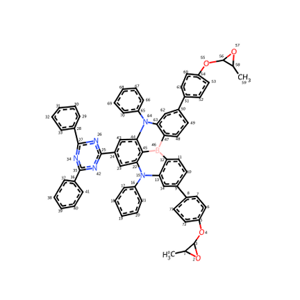 CC1OC1Oc1ccc(-c2ccc3c(c2)N(c2ccccc2)c2cc(-c4nc(-c5ccccc5)nc(-c5ccccc5)n4)cc4c2B3c2ccc(-c3ccc(OC5OC5C)cc3)cc2N4c2ccccc2)cc1